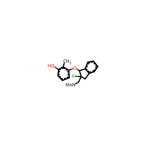 CNCC1(F)Cc2ccccc2C1Oc1cccc(O)c1C